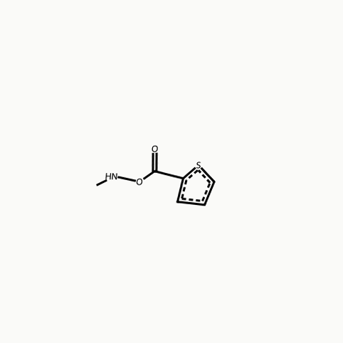 CNOC(=O)c1cccs1